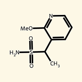 COc1ncccc1C(C)S(N)(=O)=O